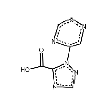 O=C(O)c1ncnn1-c1cnccn1